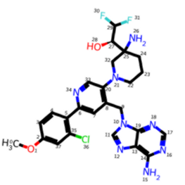 COc1ccc(-c2cc(Cn3cnc4c(N)ncnc43)c(N3CCCC(N)([C@@H](O)C(F)F)C3)cn2)c(Cl)c1